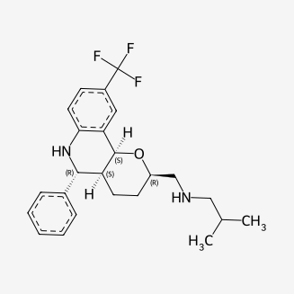 CC(C)CNC[C@H]1CC[C@@H]2[C@H](O1)c1cc(C(F)(F)F)ccc1N[C@H]2c1ccccc1